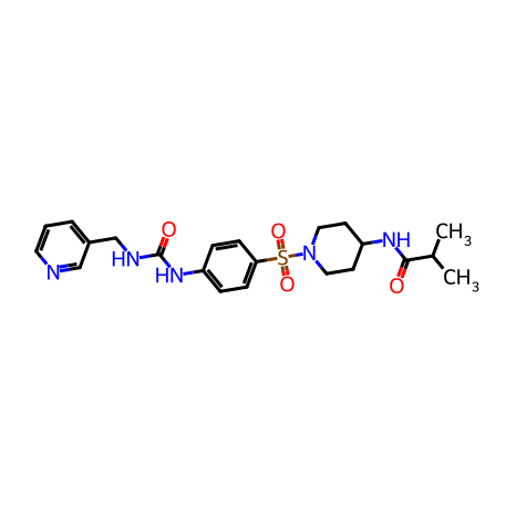 CC(C)C(=O)NC1CCN(S(=O)(=O)c2ccc(NC(=O)NCc3cccnc3)cc2)CC1